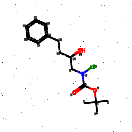 CC(C)(C)OC(=O)N(Cl)C[C@H](O)CCc1ccccc1